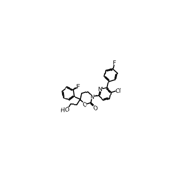 O=C1OC(CCO)(c2ccccc2F)CCN1c1ccc(Cl)c(-c2ccc(F)cc2)n1